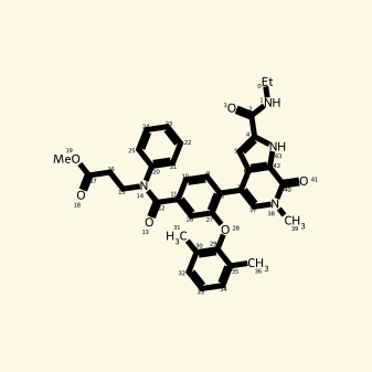 CCNC(=O)c1cc2c(-c3ccc(C(=O)N(CCC(=O)OC)c4ccccc4)cc3Oc3c(C)cccc3C)cn(C)c(=O)c2[nH]1